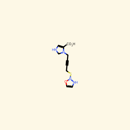 O=C(O)C1=CNCN1CC#CCSN1NC=CO1